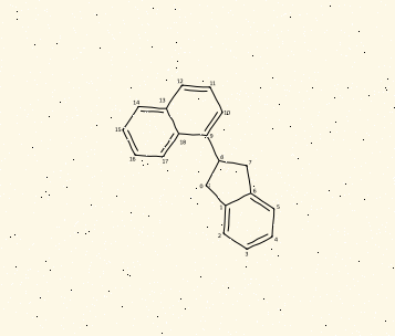 [C]1c2ccccc2CC1c1cccc2ccccc12